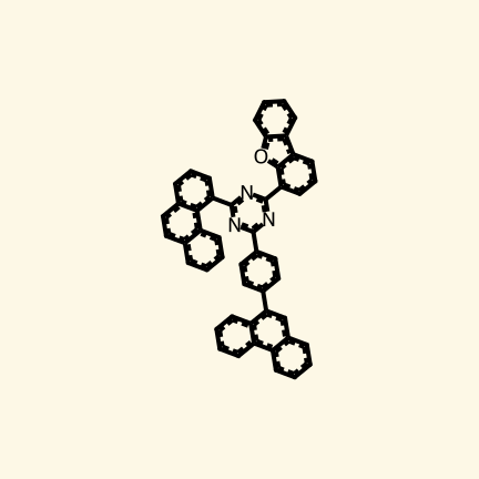 c1ccc2c(c1)cc(-c1ccc(-c3nc(-c4cccc5c4oc4ccccc45)nc(-c4cccc5ccc6ccccc6c45)n3)cc1)c1ccccc12